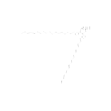 CCCCCCCCCCCCCCCCCCOC1CNCC1OCCCCCCCCCCCCCCCCCC